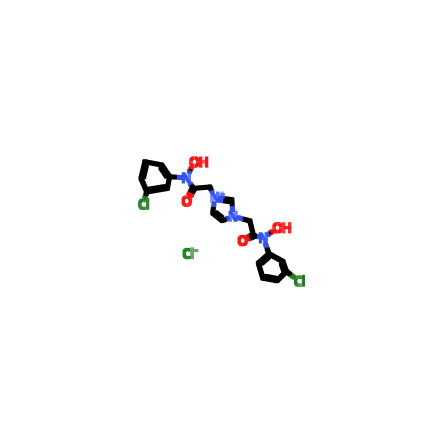 O=C(Cn1cc[n+](CC(=O)N(O)c2cccc(Cl)c2)c1)N(O)c1cccc(Cl)c1.[Cl-]